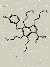 CCCCc1c(Oc2ccnc(Cl)n2)c(CCCC)c2c(CCCC)nn(C(=O)O)c2c1CCCC